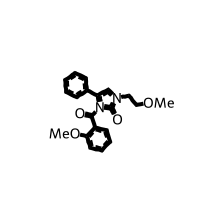 COCCn1cc(-c2ccccc2)n(C(=O)c2ccccc2OC)c1=O